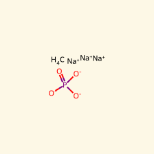 C.O=P([O-])([O-])[O-].[Na+].[Na+].[Na+]